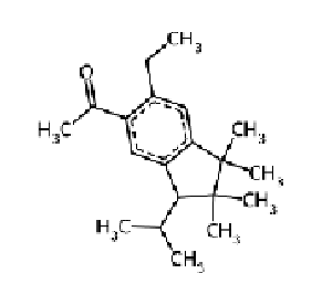 CCc1cc2c(cc1C(C)=O)C(C(C)C)C(C)(C)C2(C)C